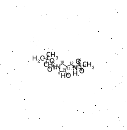 CC(C)(C)OC(=O)N1CC(O)C(CNS(C)(=O)=O)C1